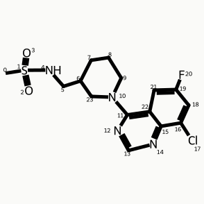 CS(=O)(=O)NCC1CCCN(c2ncnc3c(Cl)cc(F)cc23)C1